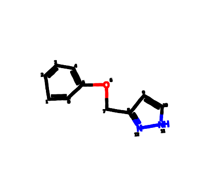 [c]1ccccc1OCc1cc[nH]n1